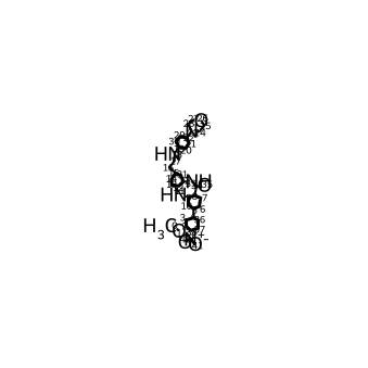 COc1cc(-c2ccc3c(c2)Nc2ccc(CCNc4ccc(N5CCOCC5)cc4)cc2NC3=O)ccc1[N+](=O)[O-]